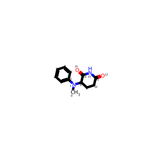 CN(c1[c]cccc1)C1CCC(=O)NC1=O